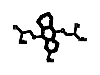 CCCCC(CC)COc1c2ccccc2c(OCC(CC)CCCC)c2cc(C(C)(C)C)ccc12